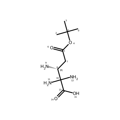 CC(C)(C)OC(=O)C[C@@H](N)C(N)(N)C(=O)O